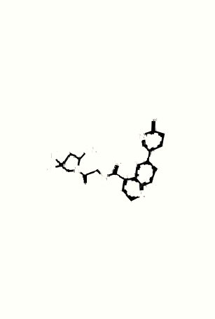 N#CC1CC(F)(F)CN1C(=O)CNC(=O)c1ccnc2ccc(-c3ccc(=O)[nH]c3)cc12